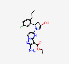 CCCc1ccc(F)cc1C1CC(O)=CN1c1ccn2nc(N)c(C(=O)OCC)c2n1